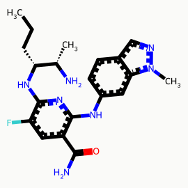 CCC[C@@H](Nc1nc(Nc2ccc3cnn(C)c3c2)c(C(N)=O)cc1F)[C@H](C)N